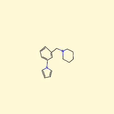 c1cc(CN2CCCCC2)cc(-n2cccc2)c1